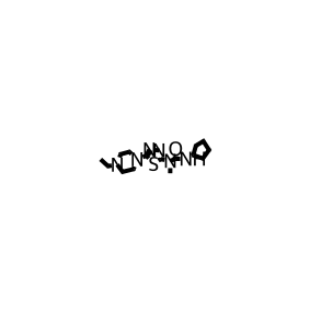 CCN1CCN(c2nnc(N(C)C(=O)NC3CCCC3)s2)CC1